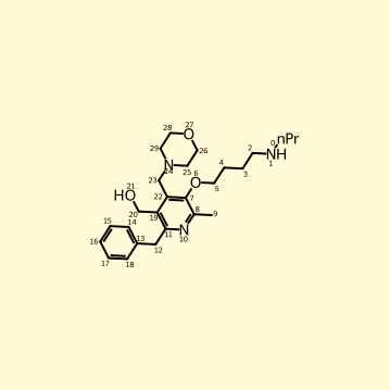 CCCNCCCCOc1c(C)nc(Cc2ccccc2)c(CO)c1CN1CCOCC1